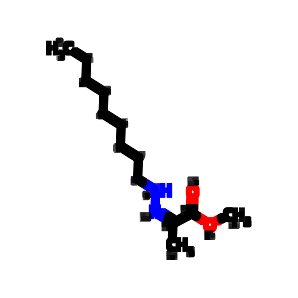 CCCCCCCCCNN=C(C)C(=O)OC